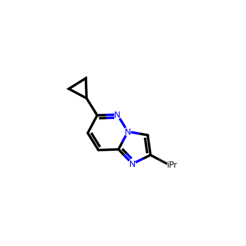 CC(C)c1cn2nc(C3CC3)ccc2n1